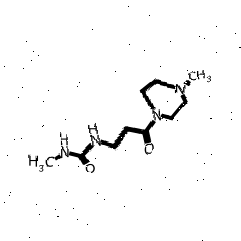 CNC(=O)NCCC(=O)N1CCN(C)CC1